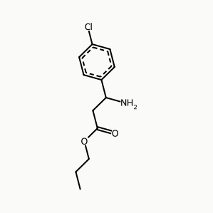 CCCOC(=O)CC(N)c1ccc(Cl)cc1